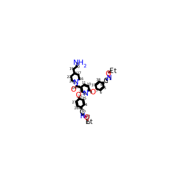 CCON=C=C1C=CC(Oc2ccc(C(=O)N3CCC(CCN)CC3)c(OC3C=CC(=C=NOCC)C=C3)n2)C=C1